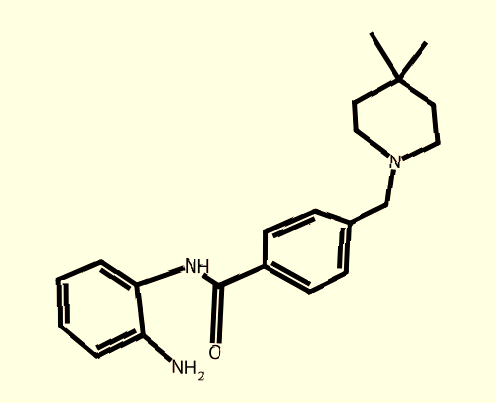 CC1(C)CCN(Cc2ccc(C(=O)Nc3ccccc3N)cc2)CC1